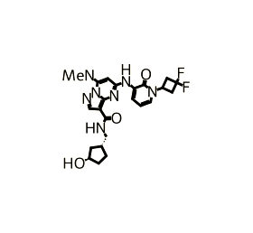 CNc1cc(Nc2cccn(C3CC(F)(F)C3)c2=O)nc2c(C(=O)NC[C@@H]3CC[C@@H](O)C3)cnn12